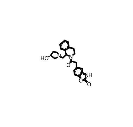 O=C(Cc1ccc2oc(=O)[nH]c2c1)N1CCc2ccccc2C1CN1CC[C@H](O)C1